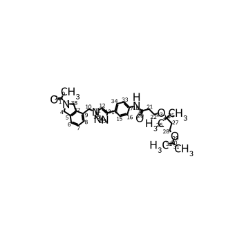 CC(=O)N1Cc2cccc(Cn3cc(-c4ccc(NC(=O)CCOC(C)(C)CCOC(C)C)cc4)nn3)c2C1